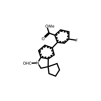 COC(=O)c1ccc(F)cc1-c1ccc2c(c1)C1(CCCC1)CN2C=O